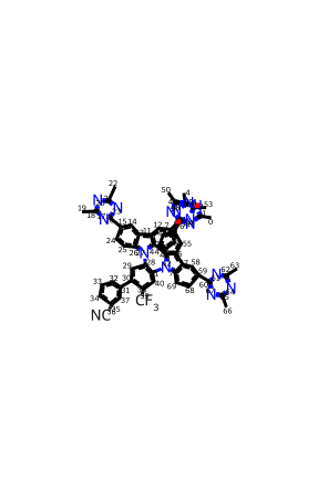 Cc1nc(C)nc(-c2ccc3c(c2)c2cc(-c4nc(C)nc(C)n4)ccc2n3-c2cc(-c3cccc(C#N)c3)c(C(F)(F)F)cc2-n2c3ccc(-c4nc(C)nc(C)n4)cc3c3cc(-c4nc(C)nc(C)n4)ccc32)n1